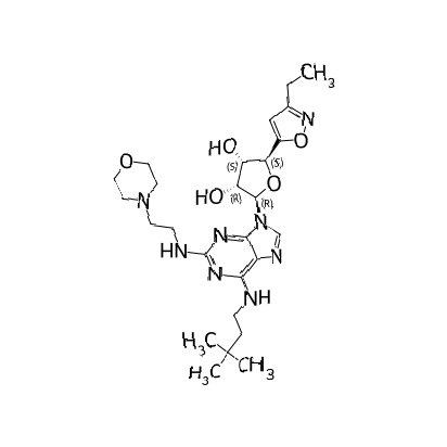 CCc1cc([C@H]2O[C@@H](n3cnc4c(NCCC(C)(C)C)nc(NCCN5CCOCC5)nc43)[C@H](O)[C@@H]2O)on1